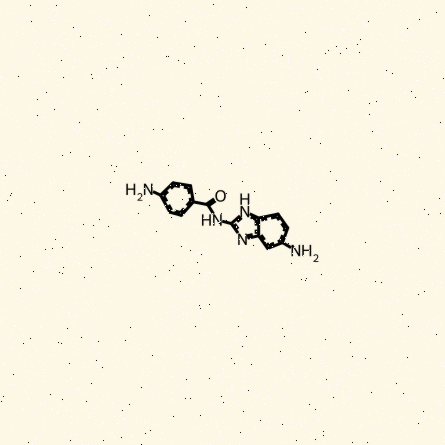 Nc1ccc(C(=O)Nc2nc3cc(N)ccc3[nH]2)cc1